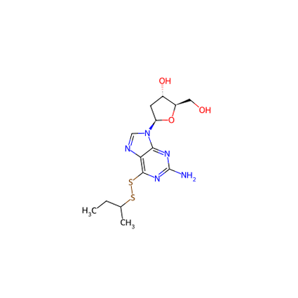 CCC(C)SSc1nc(N)nc2c1ncn2[C@H]1C[C@H](O)[C@@H](CO)O1